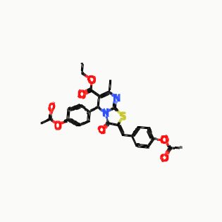 CCOC(=O)C1=C(C)N=c2sc(=Cc3ccc(OC(C)=O)cc3)c(=O)n2C1c1ccc(OC(C)=O)cc1